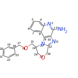 Nc1nc2ccccc2c2c1nc1n2C(COCc2ccccc2)COC1